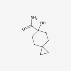 NC(=O)C1(O)CCC2(CC2)CC1